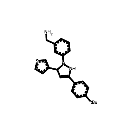 CC(C)(C)c1ccc(C2=CC(c3ccsc3)N(c3cccc(CN)c3)N2)cc1